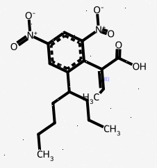 C/C=C(/C(=O)O)c1c(C(CCC)CCCC)cc([N+](=O)[O-])cc1[N+](=O)[O-]